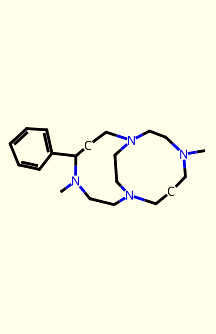 CN1CCCN2CCN(CCC(c3ccccc3)N(C)CC2)CC1